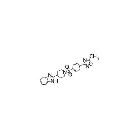 Cc1nc(-c2ccc(S(=O)(=O)N3CCC(c4nc5ccccc5[nH]4)CC3)cc2)no1